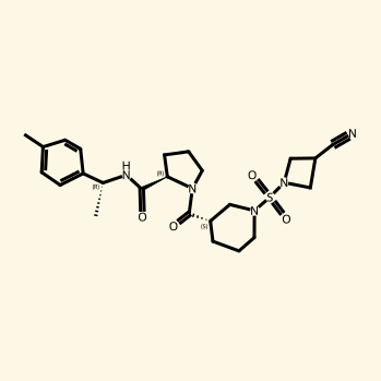 Cc1ccc([C@@H](C)NC(=O)[C@H]2CCCN2C(=O)[C@H]2CCCN(S(=O)(=O)N3CC(C#N)C3)C2)cc1